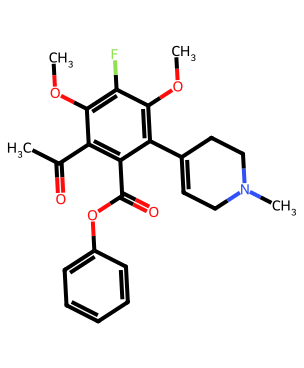 COc1c(F)c(OC)c(C2=CCN(C)CC2)c(C(=O)Oc2ccccc2)c1C(C)=O